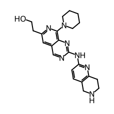 OCCc1cc2cnc(Nc3ccc4c(n3)CCNC4)nc2c(N2CCCCC2)n1